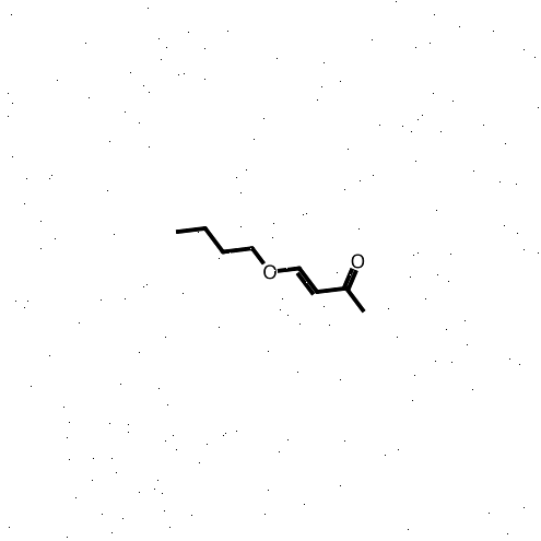 CCCCOC=CC(C)=O